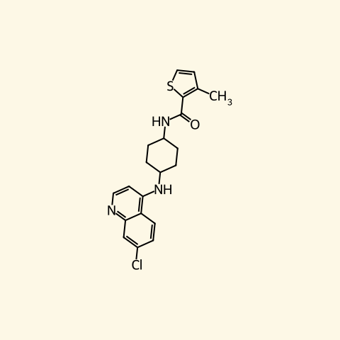 Cc1ccsc1C(=O)NC1CCC(Nc2ccnc3cc(Cl)ccc23)CC1